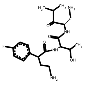 CC(C)C(=O)[C@H](CN)NC(=O)[C@@H](NC(=O)C(CCN)c1ccc(F)cc1)C(C)O